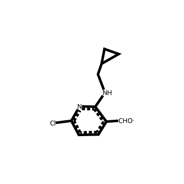 O=[C]c1ccc(Cl)nc1NCC1CC1